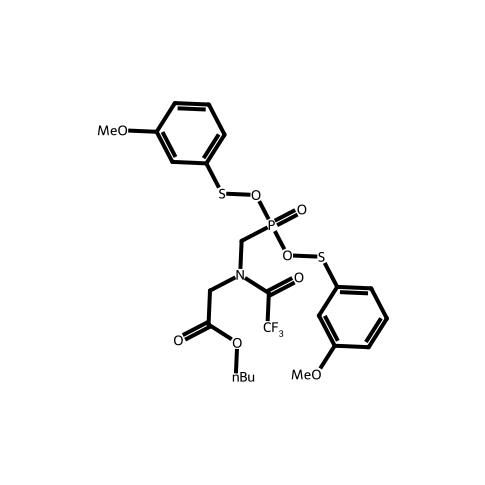 CCCCOC(=O)CN(CP(=O)(OSc1cccc(OC)c1)OSc1cccc(OC)c1)C(=O)C(F)(F)F